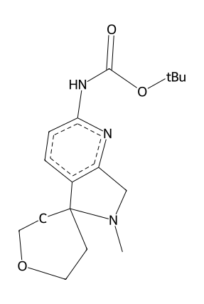 CN1Cc2nc(NC(=O)OC(C)(C)C)ccc2C12CCOCC2